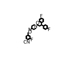 N#Cc1ccc(CON=C2CCN(C(=O)CC(c3ccc(F)cc3)c3ccc(F)cc3)CC2)cc1F